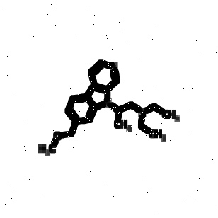 CCN(CC)CC(C)n1c2cnccc2c2ccc(COC)cc21